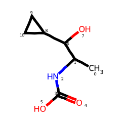 CC(NC(=O)O)C(O)C1CC1